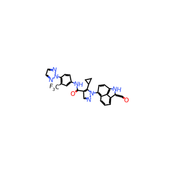 O=C=c1[nH]c2ccc(-n3ncc(C(=O)Nc4ccc(-n5nccn5)c(C(F)(F)F)c4)c3C3CC3)c3cccc1c23